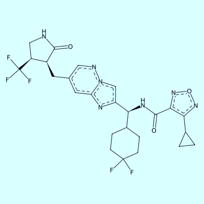 O=C(N[C@H](c1cn2ncc(C[C@@H]3C(=O)NC[C@@H]3C(F)(F)F)cc2n1)C1CCC(F)(F)CC1)c1nonc1C1CC1